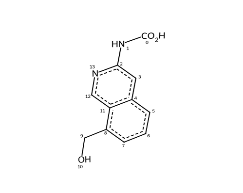 O=C(O)Nc1cc2cccc(CO)c2cn1